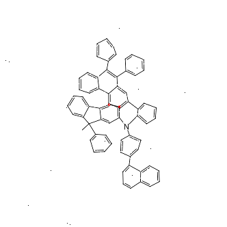 CC1(c2ccccc2)c2ccccc2-c2ccc(N(c3ccc(-c4cccc5ccccc45)cc3)c3ccccc3-c3ccc4c(c3)c(-c3ccccc3)c(-c3ccccc3)c3ccccc34)cc21